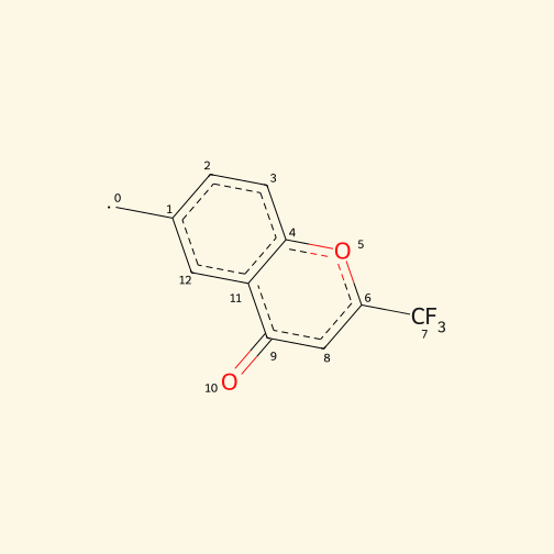 [CH2]c1ccc2oc(C(F)(F)F)cc(=O)c2c1